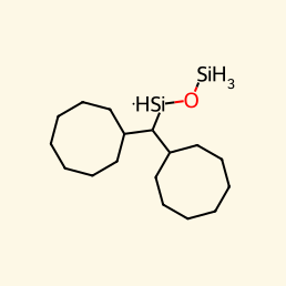 [SiH3]O[SiH]C(C1CCCCCCC1)C1CCCCCCC1